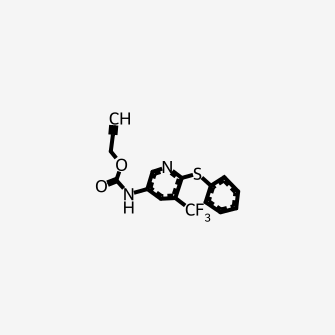 C#CCOC(=O)Nc1cnc(Sc2ccccc2)c(C(F)(F)F)c1